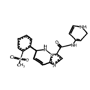 CS(=O)(=O)c1ccccc1C1C=Cc2ncc(C(=O)NC3=CCNC=C3)n2N1